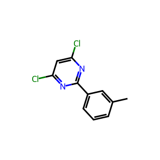 Cc1cccc(-c2nc(Cl)cc(Cl)n2)c1